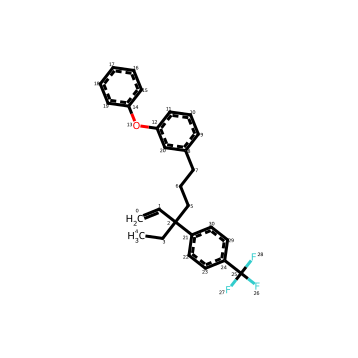 C=CC(CC)(CCCc1cccc(Oc2ccccc2)c1)c1ccc(C(F)(F)F)cc1